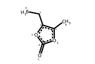 BCc1oc(=O)oc1C